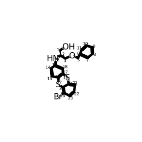 OC[C@@H](COCc1ccccc1)Nc1ccc2c(c1)Sc1cccc(Br)c1S2